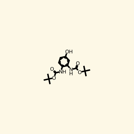 CC(C)(C)OC(=O)Nc1ccc(O)cc1NC(=O)OC(C)(C)C